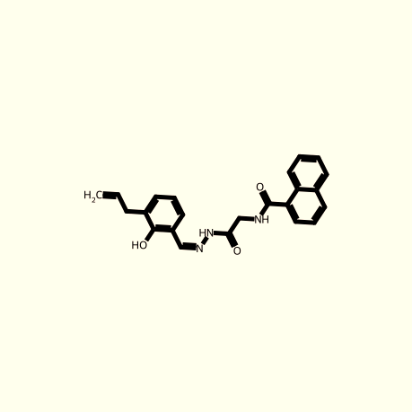 C=CCc1cccc(/C=N\NC(=O)CNC(=O)c2cccc3ccccc23)c1O